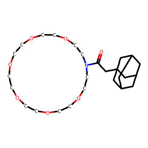 O=C(CC12CC3CC(CC(C3)C1)C2)N1CCOCCOCCOCCOCCOCCOCC1